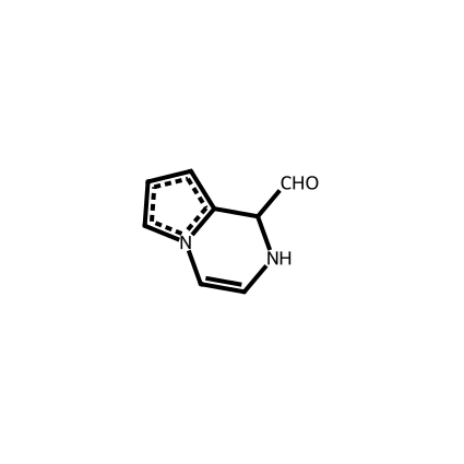 O=CC1NC=Cn2cccc21